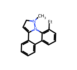 CCc1cccc2c1N1C(=CCN1C)c1ccccc1-2